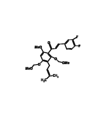 COCOc1cc(OC)c(C(=O)C=Cc2ccc(F)c(F)c2)c(OCOC)c1CC=C(C)C